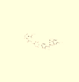 COc1ccc(C)cc1NC(=O)Nc1ccc([C@H]2CC[C@H](CCC(=O)N3CCC[C@@H]3C(=O)O)CC2)cc1